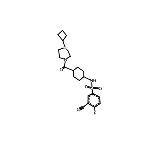 N#Cc1cc(S(=O)(=O)NC2CCC(C(=O)N3CCN(C4CCC4)CC3)CC2)ccc1F